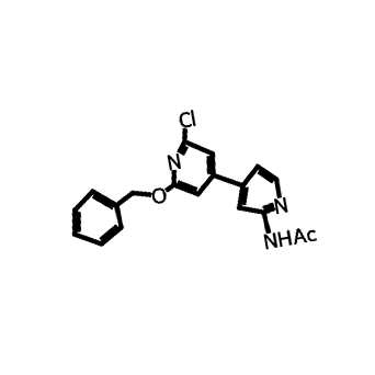 CC(=O)Nc1cc(-c2cc(Cl)nc(OCc3ccccc3)c2)ccn1